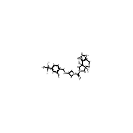 O=C(N1CC(OCc2ccc(C(F)(F)F)cc2F)C1)N1C[C@@H]2c3[nH]nnc3CO[C@@H]2C1